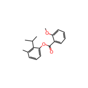 COc1ccccc1C(=O)Oc1cccc(C)c1C(C)C